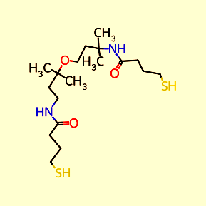 CC(C)(CCOC(C)(C)CCNC(=O)CCCS)NC(=O)CCCS